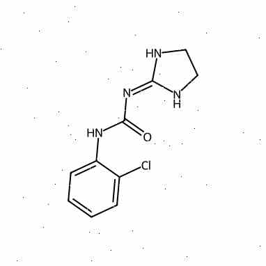 O=C(N=C1NCCN1)Nc1ccccc1Cl